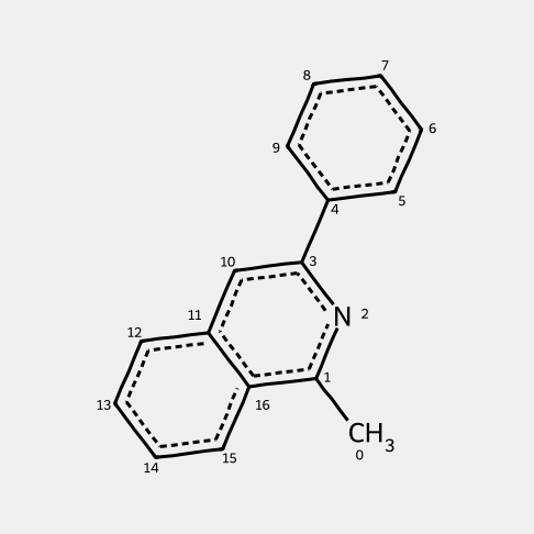 Cc1nc(-c2ccccc2)cc2ccccc12